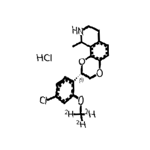 Cl.[2H]C([2H])([2H])Oc1cc(Cl)ccc1[C@H]1COc2ccc3c(c2O1)C(C)NCC3